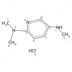 CNc1ccc(N(C)C)nc1.Cl